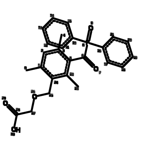 Cc1cc(C)c(C(=O)P(=O)(c2ccccc2)c2ccccc2)c(C)c1COCC(=O)O